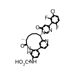 C[C@@H]1CCC[C@H](n2cnc(-c3c(F)ccc(Cl)c3F)cc2=O)c2cc(ccn2)-c2ccc(NC(=O)O)cc2NC1=O